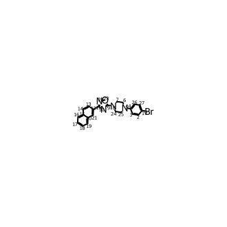 Brc1ccc(N2CCN(c3nc(-c4ccc5ccccc5c4)no3)CC2)cc1